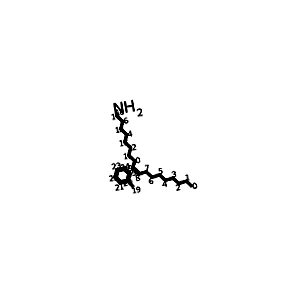 CCCCCCCC/C=C\CCCCCCCCN.Cc1ccccc1